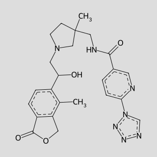 Cc1c(C(O)CN2CCC(C)(CNC(=O)c3ccc(-n4cnnn4)nc3)C2)ccc2c1COC2=O